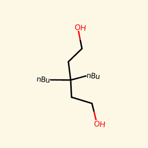 CCCCC(CCO)(CCO)CCCC